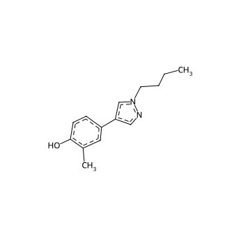 CCCCn1cc(-c2ccc(O)c(C)c2)cn1